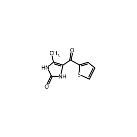 Cc1[nH]c(=O)[nH]c1C(=O)c1cccs1